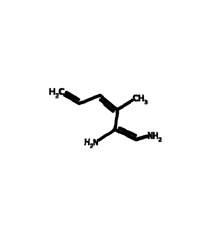 C=C/C=C(C)\C(N)=C/N